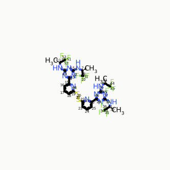 C[C@@H](Nc1nc(N[C@H](C)C(F)(F)F)nc(-c2cccc(SSc3cccc(-c4nc(N[C@H](C)C(F)(F)F)nc(N[C@H](C)C(F)(F)F)n4)n3)n2)n1)C(F)(F)F